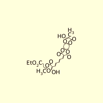 CCOC(=O)CCC1(C)OC(=O)C(/C=C/C=C/C=C2C(=O)OC3(CCC4(CC3)OC(=O)C(C)=C(O)O4)OC2=O)=C(O)O1